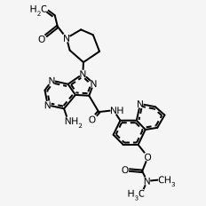 C=CC(=O)N1CCCC(n2nc(C(=O)Nc3ccc(OC(=O)N(C)C)c4cccnc34)c3c(N)ncnc32)C1